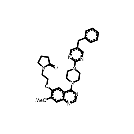 COc1cc2ncnc(N3CCN(c4ncc(Cc5ccccc5)cn4)CC3)c2cc1OCCN1CCCC1=O